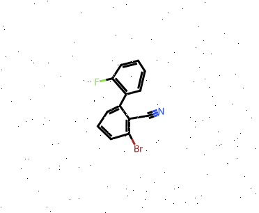 N#Cc1c(Br)cccc1-c1ccc[c]c1F